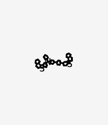 c1ccc(N(c2ccc(-c3ccc(-c4ccc5sc6ccc7ccccc7c6c5c4)cc3)cc2)c2ccc3sc4ccc5ccccc5c4c3c2)cc1